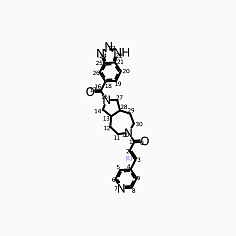 O=C(/C=C/c1ccncc1)N1CCC2CN(C(=O)c3ccc4[nH]nnc4c3)CC2CC1